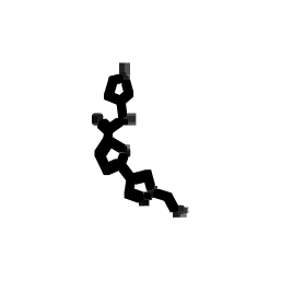 CC(C)Cn1cc(-c2ccc(C(=O)NC3CCNC3)s2)cn1